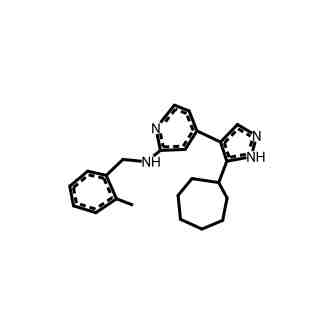 Cc1ccccc1CNc1cc(-c2cn[nH]c2C2CCCCCC2)ccn1